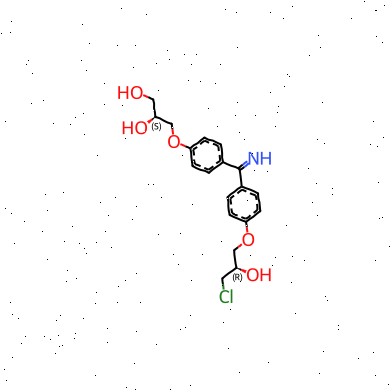 N=C(c1ccc(OC[C@@H](O)CO)cc1)c1ccc(OC[C@@H](O)CCl)cc1